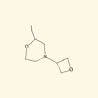 C[C]1CN(C2COC2)CCO1